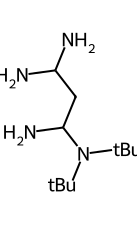 CC(C)(C)N(C(N)CC(N)N)C(C)(C)C